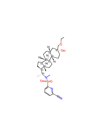 CCOC[C@@]1(O)CC[C@H]2[C@H](CC[C@@H]3[C@@H]2CC[C@]2(C)[C@@H]([C@@H](C)N(C)S(=O)(=O)c4cccc(C#N)n4)CC[C@@H]32)C1